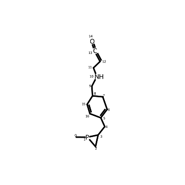 CP1CC1CC1=CCC(CNCC=C=O)C=C1